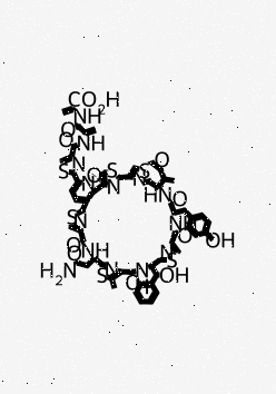 C=C(NC(=O)C(=C)NC(=O)c1csc(-c2ccc3c([n+]2[O-])-c2csc(n2)-c2csc(n2)C(C(C)C2CO2)NC(=O)C(Cc2ccc(O)cc2)NC(=O)c2csc(n2)C(C(O)c2ccccc2)NC(=O)c2nc(sc2C)C(CC(N)=O)NC(=O)c2csc-3n2)n1)C(=O)O